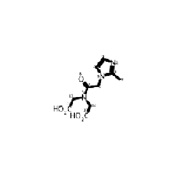 Cc1nccn1CC(=O)N(CC(=O)O)CC(=O)O